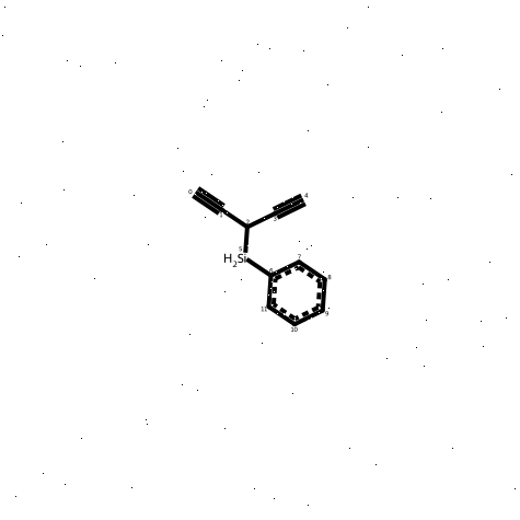 C#CC(C#C)[SiH2]c1ccccc1